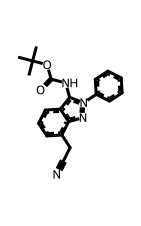 CC(C)(C)OC(=O)Nc1c2cccc(CC#N)c2nn1-c1ccccc1